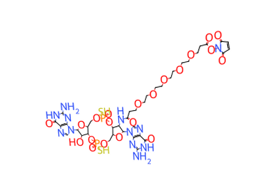 Nc1nc2c(ncn2C2OC3COP(=O)(S)OC4C(COP(=O)(S)OC3C2O)OC(n2cnc3c(=O)[nH]c(N)nc32)C4NC(=O)CCOCCOCCOCCOCCOCCC(=O)ON2C(=O)C=CC2=O)c(=O)[nH]1